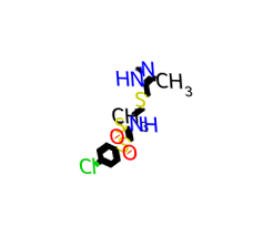 CSC(=CS(=O)(=O)c1ccc(Cl)cc1)NCCSCc1[nH]cnc1C